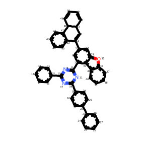 C1=CC2C=C(c3cc(-c4nc(-c5ccccc5)nc(-c5ccc(-c6ccccc6)cc5)n4)c4c(c3)oc3ccccc34)c3ccccc3C2C=C1